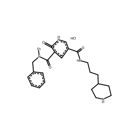 CCN(Cc1ccccc1)C(=O)c1cc(C(=O)NCCCC2CCNCC2)c[nH]c1=O.Cl